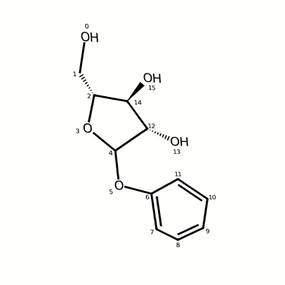 OC[C@H]1OC(Oc2ccccc2)[C@@H](O)[C@@H]1O